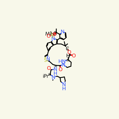 CO[C@@H](C)c1ncccc1-c1c2c3cc(ccc3n1S(C)(=O)=O)-c1csc(n1)C[C@H](NC(=O)[C@H](C(C)C)N(C)CC1CCNC1)C(=O)N1CCC[C@H](N1)C(=O)OCC(C)(C)C2